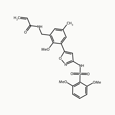 C=CC(=O)NCc1cc(C)cc(-c2cc(NS(=O)(=O)c3c(OC)cccc3OC)no2)c1OC